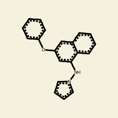 c1ccc(Oc2cc(Nn3cccc3)c3ccccc3c2)cc1